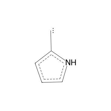 [C]c1ccc[nH]1